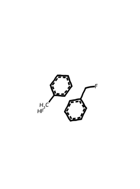 Cc1ccccc1.F.FCc1ccccc1